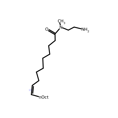 CCCCCCCC/C=C\CCCCCCCC(=O)N(C)CCN